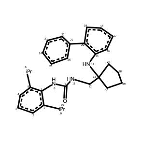 CC(C)c1cccc(C(C)C)c1NC(=O)NCC1(Nc2ccccc2-c2ccccc2)CCCC1